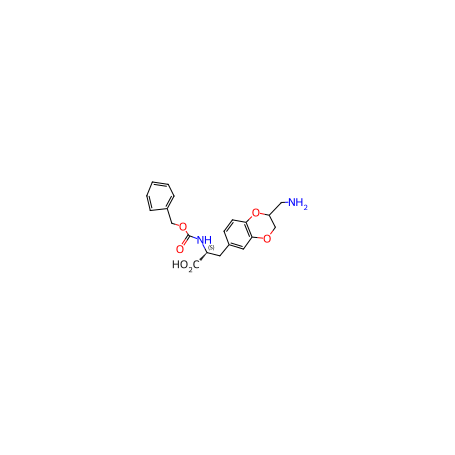 NCC1COc2cc(C[C@H](NC(=O)OCc3ccccc3)C(=O)O)ccc2O1